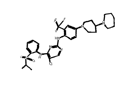 CC(C)S(=O)(=O)c1ccccc1Nc1nc(Nc2ccc(N3CCC(N4CCCCC4)CC3)cc2C(F)(F)F)ncc1Cl